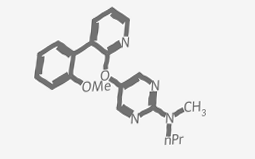 CCCN(C)c1ncc(Oc2ncccc2-c2ccccc2OC)cn1